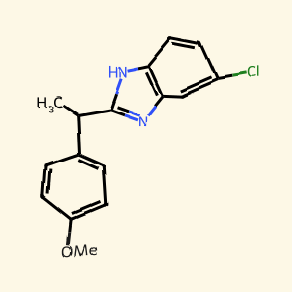 COc1ccc(C(C)c2nc3cc(Cl)ccc3[nH]2)cc1